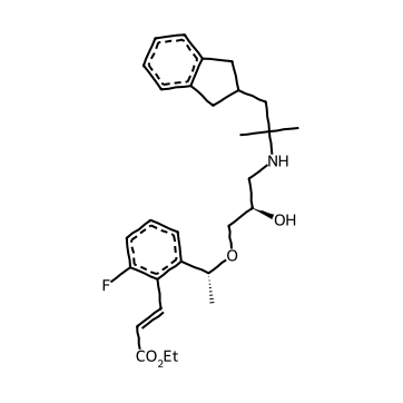 CCOC(=O)/C=C/c1c(F)cccc1[C@@H](C)OC[C@H](O)CNC(C)(C)CC1Cc2ccccc2C1